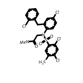 CNC(=O)CN(c1ccc(Cl)cc1Cc1ccccc1Cl)S(=O)(=O)c1cc(C)c(Cl)cc1Cl